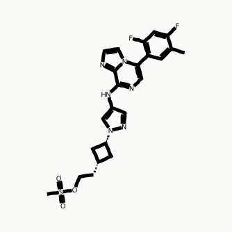 Cc1cc(-c2cnc(Nc3cnn([C@H]4C[C@@H](CCOS(C)(=O)=O)C4)c3)c3nccn23)c(F)cc1F